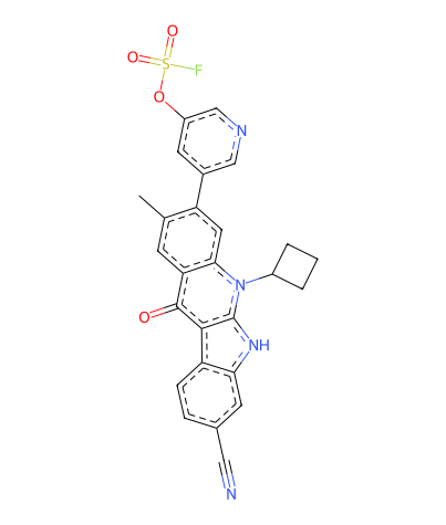 Cc1cc2c(=O)c3c4ccc(C#N)cc4[nH]c3n(C3CCC3)c2cc1-c1cncc(OS(=O)(=O)F)c1